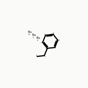 CCc1ccccc1.[Ru].[Ru].[Ru]